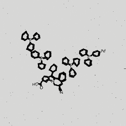 N#CC1=Cc2ccccc2-c2c(C3CCCCC3)c3ccc(C(=O)O)cc3n2C1.[Pd].c1ccc(P(c2ccccc2)c2ccccc2)cc1.c1ccc(P(c2ccccc2)c2ccccc2)cc1.c1ccc(P(c2ccccc2)c2ccccc2)cc1.c1ccc(P(c2ccccc2)c2ccccc2)cc1